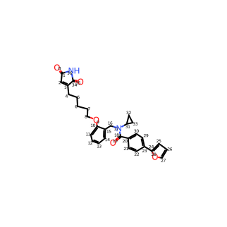 O=C1C=C(CCCCCOc2ccccc2CN(C(=O)c2ccc(-c3ccco3)cc2)C2CC2)C(=O)N1